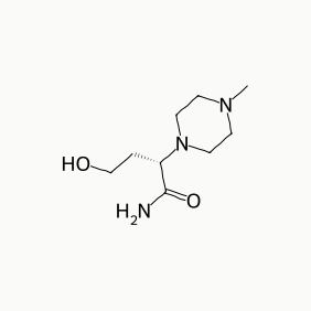 CN1CCN([C@@H](CCO)C(N)=O)CC1